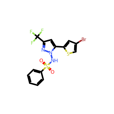 O=S(=O)(Nn1nc(C(F)(F)F)cc1-c1cc(Br)cs1)c1ccccc1